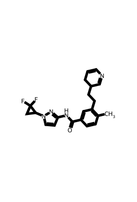 Cc1ccc(C(=O)Nc2ccn(C3CC3(F)F)n2)cc1CCC1C=NC=CC1